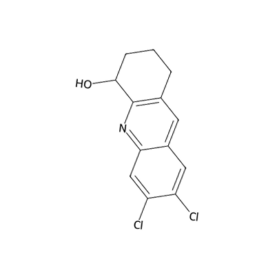 OC1CCCc2cc3cc(Cl)c(Cl)cc3nc21